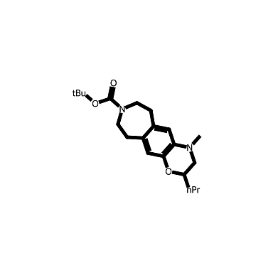 CCCC1CN(C)c2cc3c(cc2O1)CCN(C(=O)OC(C)(C)C)CC3